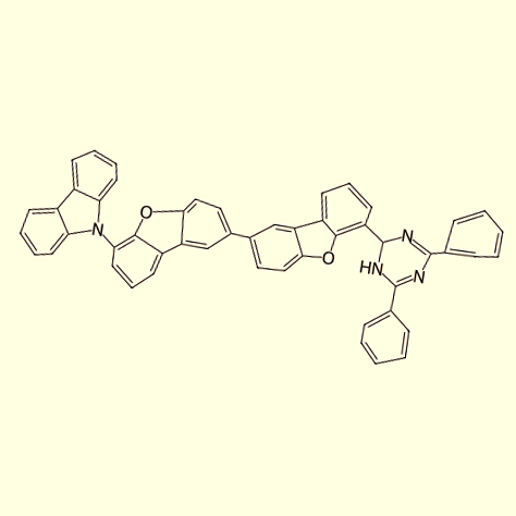 c1ccc(C2=NC(c3cccc4c3oc3ccc(-c5ccc6oc7c(-n8c9ccccc9c9ccccc98)cccc7c6c5)cc34)NC(c3ccccc3)=N2)cc1